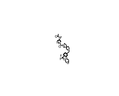 CC(=O)N(C)c1cnn(C(=O)N2CCC3(CCN(Cc4ccc(C(F)(F)F)c(N5CCOCC5)c4)C3)C2)c1